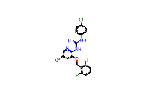 N=C(Nc1ccc(Cl)cc1)Nc1ncc(Cl)cc1OCc1c(F)cccc1Cl